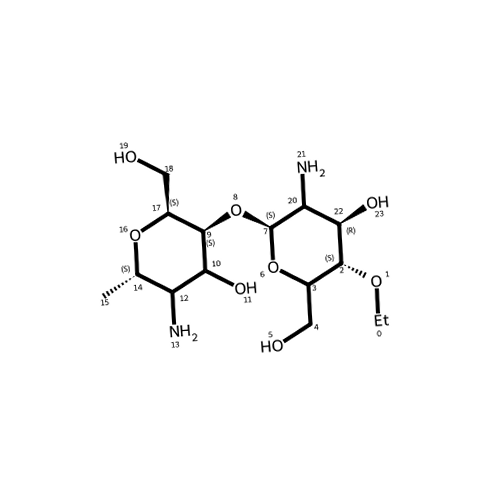 CCO[C@@H]1C(CO)O[C@@H](O[C@H]2C(O)C(N)[C@H](C)O[C@H]2CO)C(N)[C@H]1O